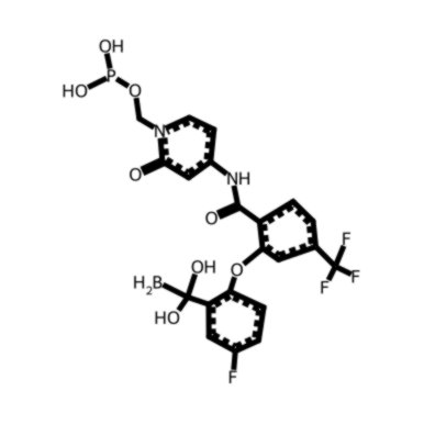 BC(O)(O)c1cc(F)ccc1Oc1cc(C(F)(F)F)ccc1C(=O)Nc1ccn(COP(O)O)c(=O)c1